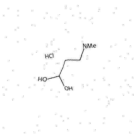 CNCCC(O)O.Cl